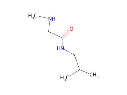 CNCC(=O)NCC(C)C